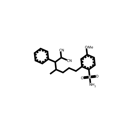 COc1ccc(S(N)(=O)=O)c(CCCC(C)C(c2ccccc2)C(C#N)C#N)c1